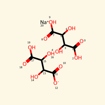 O=C(O)C(O)C(O)C(=O)O.O=C([O-])C(O)C(O)C(=O)O.[Na+]